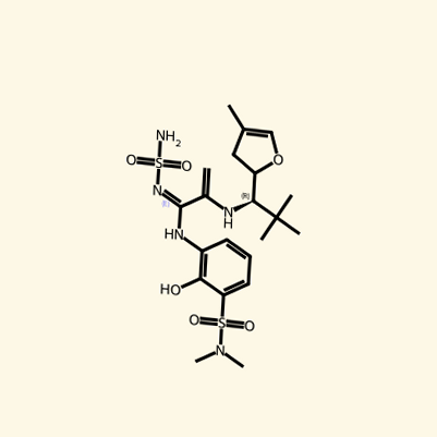 C=C(N[C@@H](C1CC(C)=CO1)C(C)(C)C)/C(=N\S(N)(=O)=O)Nc1cccc(S(=O)(=O)N(C)C)c1O